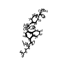 CN(C)CCCNC(=O)c1ccc(S(=O)(=O)NC2CCN(C(=O)OC(C)(C)C)CC2)c2c1CCCC2